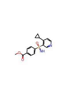 COC(=O)c1ccc(S(=N)(=O)c2cnccc2C2CC2)cc1